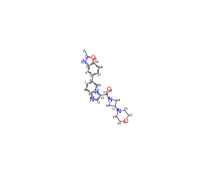 Cc1nc2cc(-c3ccc4ncc(C(=O)N5CC(N6CCOCC6)C5)n4c3)ccc2o1